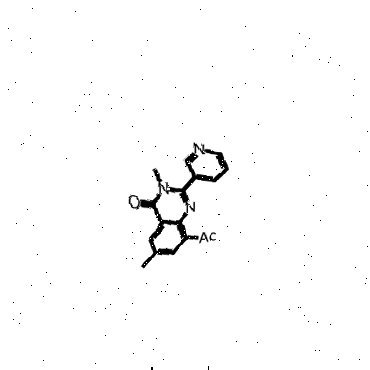 CC(=O)c1cc(C)cc2c(=O)n(C)c(-c3cccnc3)nc12